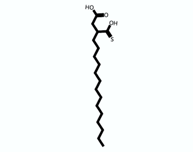 CCCCCCCCCCCCCCC(CC(=O)O)C(O)=S